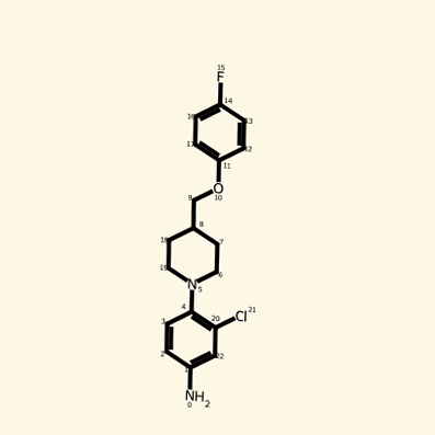 Nc1ccc(N2CCC(COc3ccc(F)cc3)CC2)c(Cl)c1